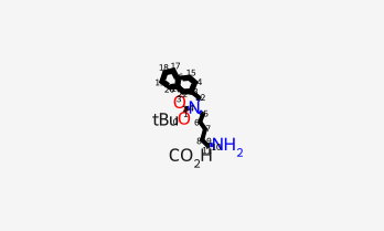 CC(C)(C)OC(=O)N(CCCC[C@H](N)C(=O)O)Cc1ccc2ccccc2c1